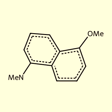 CNc1cccc2c(OC)cccc12